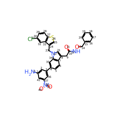 Nc1cc(-c2ccc3c(CC(=O)NOCc4ccccc4)cn(Cc4csc5ccc(Cl)cc45)c3c2)cc([N+](=O)[O-])c1